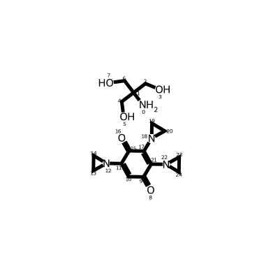 NC(CO)(CO)CO.O=C1C=C(N2CC2)C(=O)C(N2CC2)=C1N1CC1